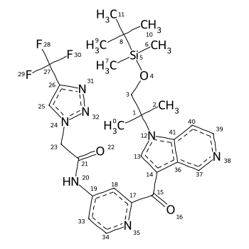 CC(C)(CO[Si](C)(C)C(C)(C)C)n1cc(C(=O)c2cc(NC(=O)Cn3cc(C(F)(F)F)nn3)ccn2)c2cnccc21